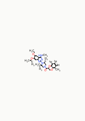 [2H]c1c([2H])c(C)c2c(c1[2H])OC(C(=O)N1CC(C)N(c3nc(NC)c4cc(OCC)c(OC(C)C)cc4n3)C(C)(C)C1)CO2